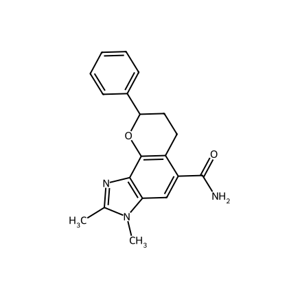 Cc1nc2c3c(c(C(N)=O)cc2n1C)CCC(c1ccccc1)O3